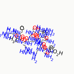 CC(C)C[C@H](NC(=O)[C@H](CO)NC(=O)CNC(=O)[C@H](CCCCN)NC(=O)[C@H](CCCNC(=N)N)NC(=O)[C@H](C)NC(=O)[C@H](Cc1ccccc1)NC(=O)[C@@H](N)CCCNC(=N)N)C(=O)N[C@@H](CCCNC(=N)N)C(=O)N[C@@H](CCC(N)=O)C(=O)N[C@@H](CCCCN)C(=O)N[C@@H](CC(N)=O)C(=O)N[C@H](C(=O)O)C(C)C